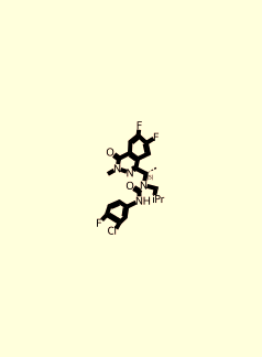 CC(C)CN(C(=O)Nc1ccc(F)c(Cl)c1)[C@@H](C)c1nn(C)c(=O)c2cc(F)c(F)cc12